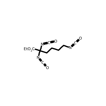 CCOC(=O)C(CCCCN=C=O)(N=C=O)N=C=O